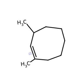 C/C1=C/C(C)CCCCC1